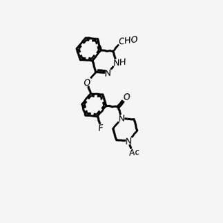 CC(=O)N1CCN(C(=O)c2cc(OC3=NNC(C=O)c4ccccc43)ccc2F)CC1